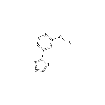 COc1cc(-c2ncon2)ccn1